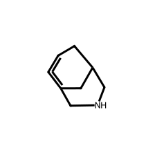 C1=CCC2CNCC=1C2